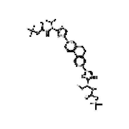 CC(C)[C@H](NC(=O)OC(C)(C)C)c1nc(-c2ccc3c(c2)CCc2cc(-c4c[nH]c([C@@H](NC(=O)OC(C)(C)C)C(C)C)n4)ccc2-3)c[nH]1